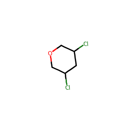 ClC1COCC(Cl)C1